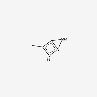 Cc1[nH]n2c1N2